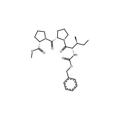 CC[C@H](C)[C@H](NC(=O)OCc1ccccc1)C(=O)N1CCC[C@H]1C(=O)N1CCC[C@H]1C(=O)OC